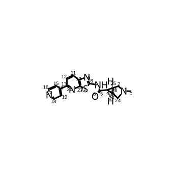 CN1C[C@@H]2C(C(=O)Nc3nc4ccc(-c5ccncc5)nc4s3)[C@@H]2C1